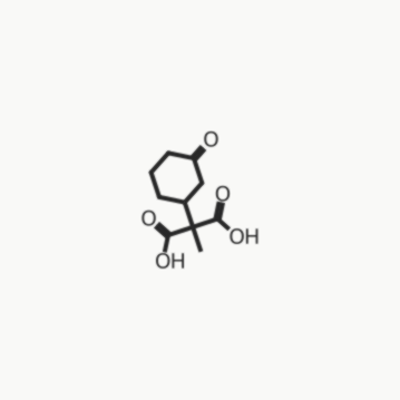 CC(C(=O)O)(C(=O)O)C1CCCC(=O)C1